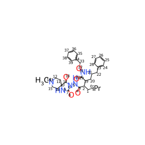 CC(C)CC(C(=O)NN1C(=O)NC2(CCN(C)CC2)C1=O)C(CCCc1ccccc1)C(=O)NOCc1ccccc1